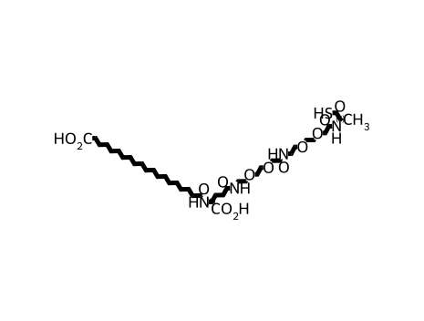 C[C@H](NC(=O)COCCOCCNC(=O)COCCOCCNC(=O)CC[C@H](NC(=O)CCCCCCCCCCCCCCCCCCC(=O)O)C(=O)O)C(=O)S